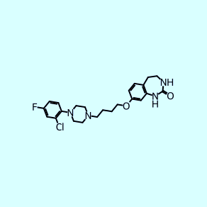 O=C1NCCc2ccc(OCCCCN3CCN(c4ccc(F)cc4Cl)CC3)cc2N1